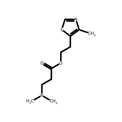 Cc1ncsc1CCOC(=O)CCN(C)C